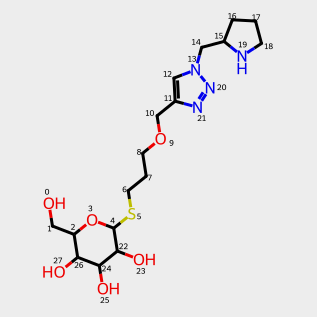 OCC1OC(SCCCOCc2cn(CC3CCCN3)nn2)C(O)C(O)C1O